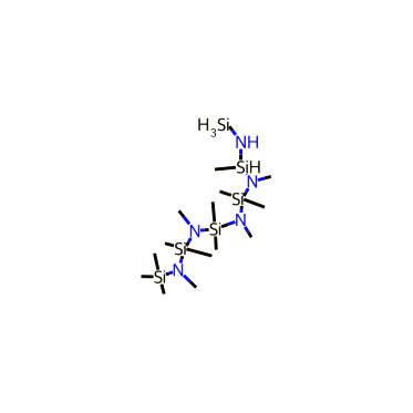 CN([SiH](C)N[SiH3])[Si](C)(C)N(C)[Si](C)(C)N(C)[Si](C)(C)N(C)[Si](C)(C)C